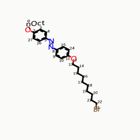 CCCCCCCCOc1ccc(N=Nc2ccc(OCCCCCCCCCCBr)cc2)cc1